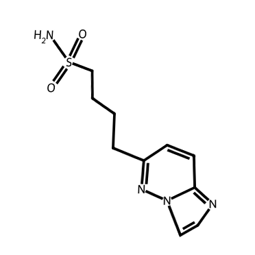 NS(=O)(=O)CCCCc1ccc2nccn2n1